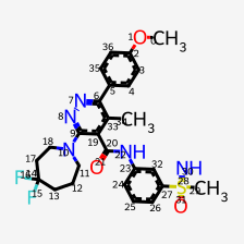 COc1ccc(-c2nnc(N3CCCC(F)(F)CC3)c(C(=O)Nc3cccc(S(C)(=N)=O)c3)c2C)cc1